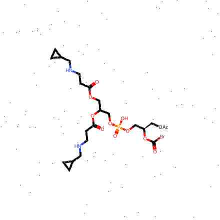 CC(=O)OC[C@H](COP(=O)(O)OCC(COC(=O)CCNCC1CC1)OC(=O)CCNCC1CC1)OC(=O)Br